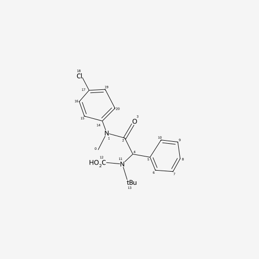 CN(C(=O)C(c1ccccc1)N(C(=O)O)C(C)(C)C)c1ccc(Cl)cc1